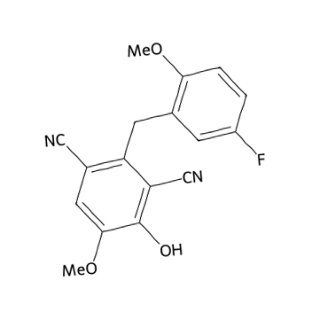 COc1ccc(F)cc1Cc1c(C#N)cc(OC)c(O)c1C#N